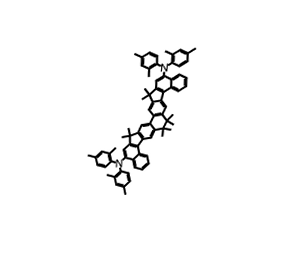 Cc1ccc(N(c2ccc(C)cc2C)c2cc3c(c4ccccc24)-c2cc4c(cc2C3(C)C)-c2cc3c(cc2C(C)(C)C4(C)C)-c2c(cc(N(c4ccc(C)cc4C)c4ccc(C)cc4C)c4ccccc24)C3(C)C)c(C)c1